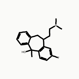 CN(C)CCC1Cc2ccccc2C(C)(O)c2ccc(F)cc21